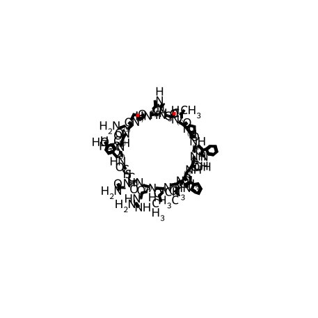 CCCC[C@H]1C(=O)N(C)[C@@H](CCCC)C(=O)N[C@@H](CCCNC(=N)N)C(=O)N[C@H](C(=O)NCC(N)=O)CSCC(=O)N[C@@H](Cc2ccc(O)cc2)C(=O)N(C)[C@@H](C)C(=O)N[C@@H](CC(N)=O)C(=O)N2CCC[C@H]2C(=O)N[C@@H](Cc2c[nH]cn2)C(=O)NCC(=O)N[C@@H](CC(C)C)C(=O)N2CCC[C@H]2C(=O)N[C@@H](Cc2c[nH]c3ccccc23)C(=O)N[C@@H](CO)C(=O)N[C@@H](Cc2c[nH]c3ccccc23)C(=O)N1C